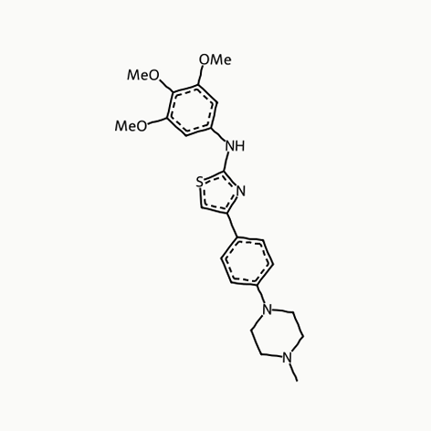 COc1cc(Nc2nc(-c3ccc(N4CCN(C)CC4)cc3)cs2)cc(OC)c1OC